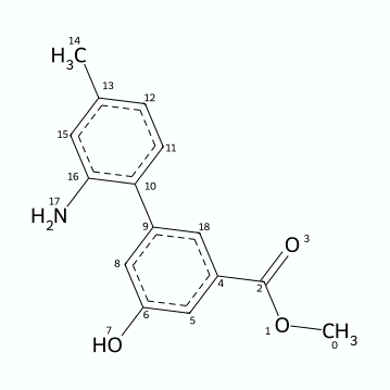 COC(=O)c1cc(O)cc(-c2ccc(C)cc2N)c1